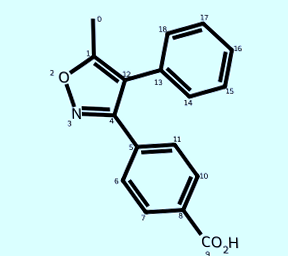 Cc1onc(-c2ccc(C(=O)O)cc2)c1-c1ccccc1